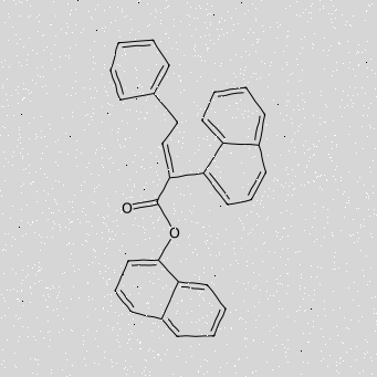 O=C(Oc1cccc2ccccc12)C(=CCc1ccccc1)c1cccc2ccccc12